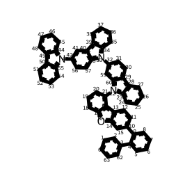 c1ccc(-c2ccccc2-c2ccc3c(c2)oc2cccc(-n4c5ccccc5c5ccc(-n6c7ccccc7c7cc(-n8c9ccccc9c9ccccc98)ccc76)cc54)c23)cc1